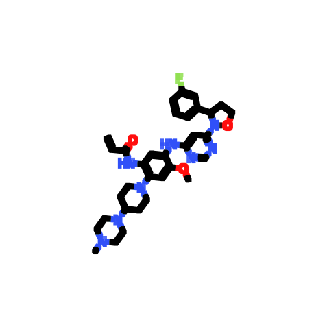 C=CC(=O)Nc1cc(Nc2cc(N3OCCC3c3cccc(F)c3)ncn2)c(OC)cc1N1CCC(N2CCN(C)CC2)CC1